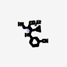 CCOC(=O)/C(C=N)=C(/Nc1cccc(C#N)c1)C1CC1